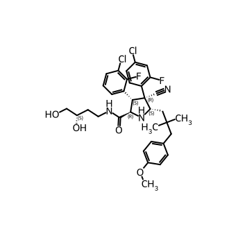 COc1ccc(CC(C)(C)C[C@@H]2N[C@@H](C(=O)NCC[C@H](O)CO)[C@H](c3cccc(Cl)c3F)[C@@]2(C#N)c2ccc(Cl)cc2F)cc1